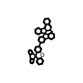 CC1C=c2ccccc2=C2c3ccccc3C3(c4ccccc4-c4cc(-c5ccc6c(c5)Oc5ccccc5C65c6ccccc6-c6ccccc65)ccc43)C21